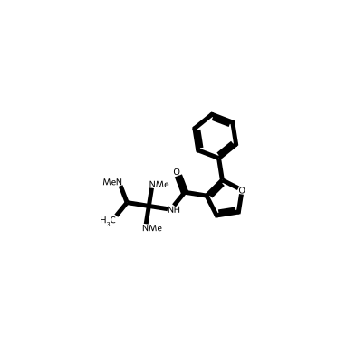 CNC(C)C(NC)(NC)NC(=O)c1ccoc1-c1ccccc1